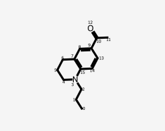 CCCN1CCCc2cc(C(C)=O)ccc21